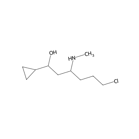 CNC(CCCCl)CC(O)C1CC1